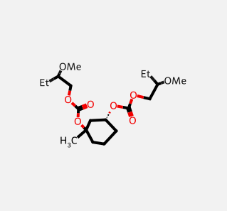 CCC(COC(=O)O[C@@H]1CCCC(C)(OC(=O)OCC(CC)OC)C1)OC